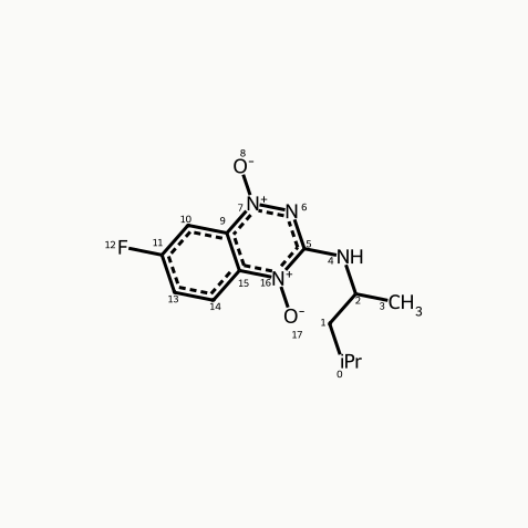 CC(C)CC(C)Nc1n[n+]([O-])c2cc(F)ccc2[n+]1[O-]